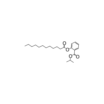 CCCCCCCCCCCC(=O)Oc1ccccc1C(=O)OC(C)C